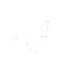 CNc1nc2ccc(S(=O)(=O)N(CC(C)C)C(Cc3ccccc3)C(O)CNC(=O)OCc3cncs3)cc2s1